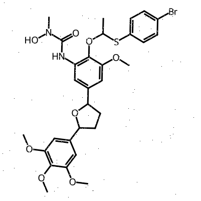 COc1cc(C2CCC(c3cc(OC)c(OC)c(OC)c3)O2)cc(NC(=O)N(C)O)c1OC(C)Sc1ccc(Br)cc1